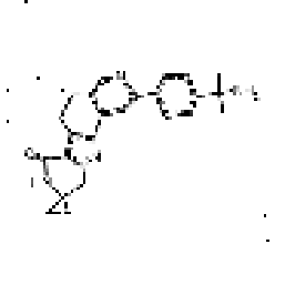 CC(C)(N)c1ccc(-c2cc3c(cn2)CCc2c-3nn3c2C(=O)NC2(CC2)C3)cc1